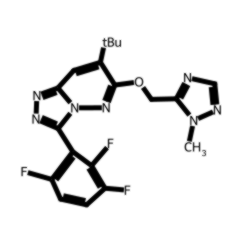 Cn1ncnc1COc1nn2c(-c3c(F)ccc(F)c3F)nnc2cc1C(C)(C)C